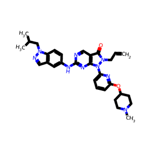 C=CCn1c(=O)c2cnc(Nc3ccc4c(cnn4CC(C)C)c3)nc2n1-c1cccc(OC2CCN(C)CC2)n1